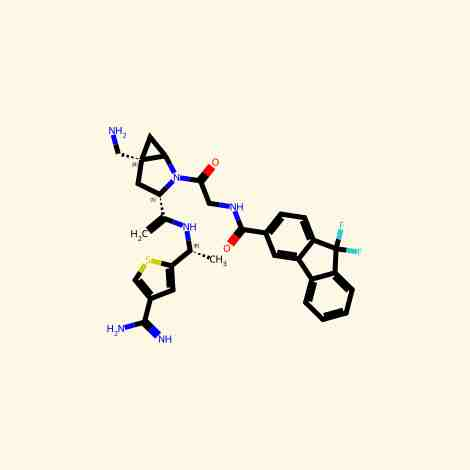 C=C(N[C@H](C)c1cc(C(=N)N)cs1)[C@@H]1C[C@@]2(CN)CC2N1C(=O)CNC(=O)c1ccc2c(c1)-c1ccccc1C2(F)F